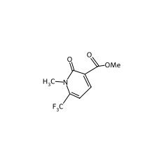 COC(=O)c1ccc(C(F)(F)F)n(C)c1=O